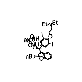 CCCCc1oc2ccccc2c1C(=O)c1cc(I)c(OCCN(CC)CC)c(I)c1.NN.O=[As][O-].[Na+]